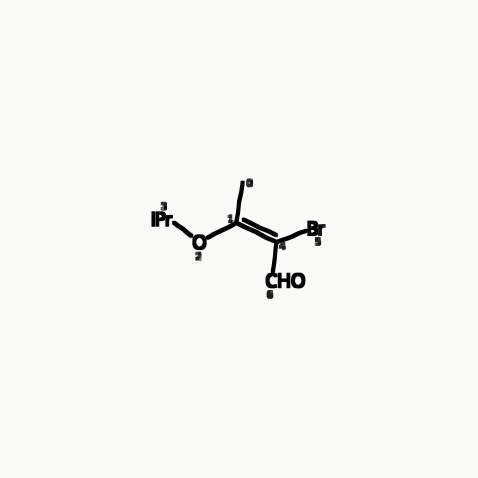 C/C(OC(C)C)=C(\Br)C=O